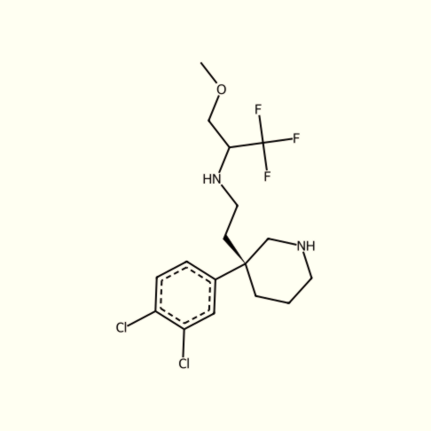 COCC(NCC[C@]1(c2ccc(Cl)c(Cl)c2)CCCNC1)C(F)(F)F